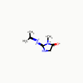 CC(C)=N/N=C1/NCC(=O)N1C